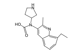 CCc1cccc2cc(N(C(=O)O)C3CCNC3)c(C)nc12